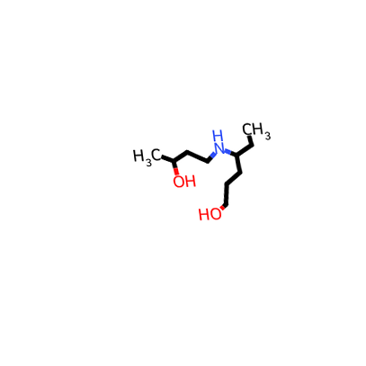 CCC(CCCO)NCCC(C)O